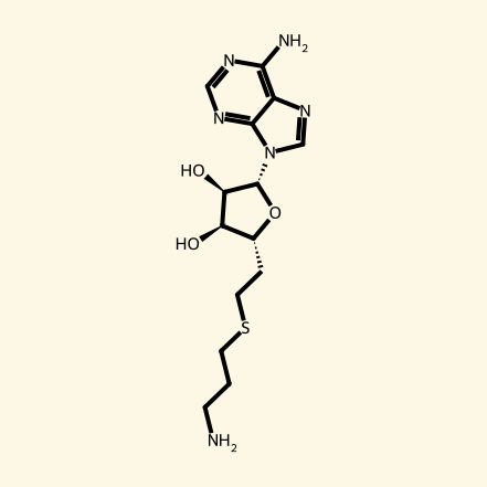 NCCCSCC[C@H]1O[C@@H](n2cnc3c(N)ncnc32)[C@H](O)[C@@H]1O